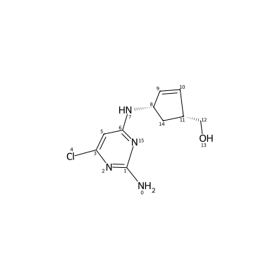 Nc1nc(Cl)cc(N[C@@H]2C=C[C@H](CO)C2)n1